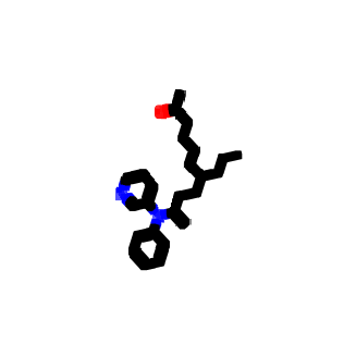 C=C(CCC(CCC)CCCCC(C)=O)N(c1ccccc1)c1cccnc1